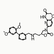 COc1ccc(OC)c(-c2cccc(CNCC[C@H]3CN(c4ccc5c(n4)NC(=O)CO5)C(=O)O3)c2)c1